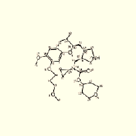 COCCCOc1cc(O[C@H](C[C@H]2CNC[C@H]2CN(C(=O)OC2CCOCC2)C2CC2)C(C)C)ccc1OC